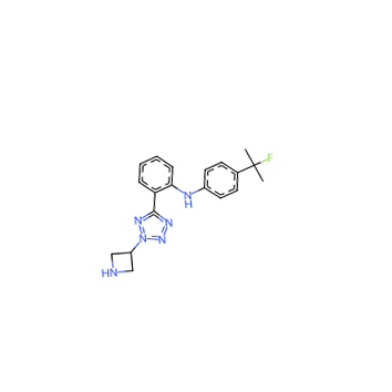 CC(C)(F)c1ccc(Nc2ccccc2-c2nnn(C3CNC3)n2)cc1